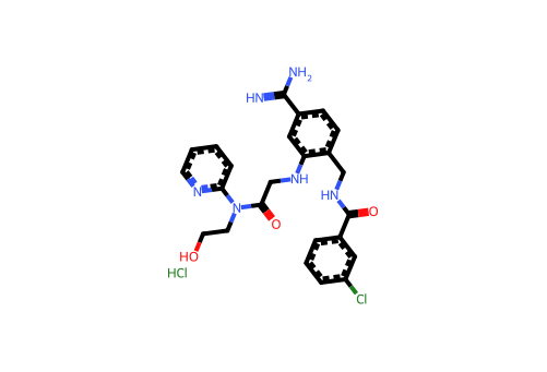 Cl.N=C(N)c1ccc(CNC(=O)c2cccc(Cl)c2)c(NCC(=O)N(CCO)c2ccccn2)c1